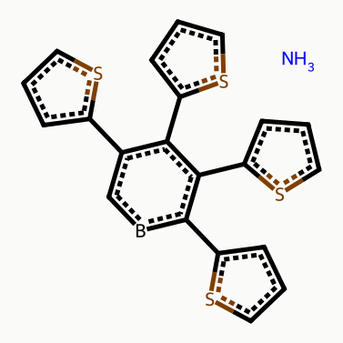 N.b1cc(-c2cccs2)c(-c2cccs2)c(-c2cccs2)c1-c1cccs1